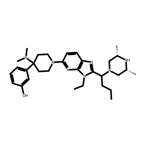 CCCC(c1nc2ccc(N3CCC(c4cccc(O)c4)(N(C)C)CC3)nc2n1CC)N1C[C@@H](C)N[C@@H](C)C1